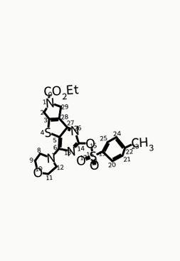 CCOC(=O)N1Cc2sc3c(N4CCOCC4)nc(OS(=O)(=O)c4ccc(C)cc4)nc3c2C1